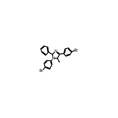 CC1C(c2ccc(Br)cc2)=NC(c2ccccc2)N1c1ccc(Br)cc1